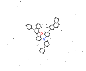 c1ccc(-c2cccc(N(c3ccc(-c4ccc5c(ccc6ccccc65)c4)cc3)c3cccc4c3oc3c5ccccc5c(-c5ccccc5)cc43)c2)cc1